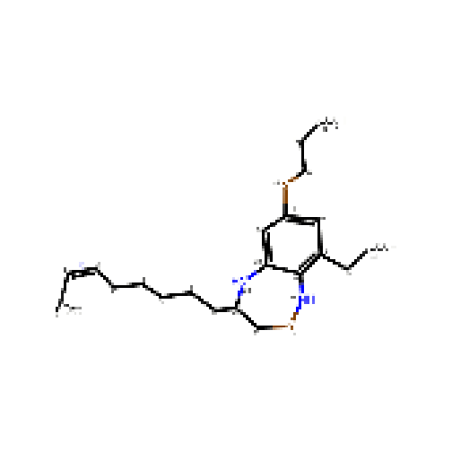 CCCCCCCC/C=C\CCCCCC1CSNc2c(CC(=O)O)cc(SCCC(=O)O)cc2N1